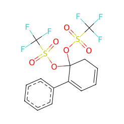 O=S(=O)(OC1(OS(=O)(=O)C(F)(F)F)CC=CC=C1c1ccccc1)C(F)(F)F